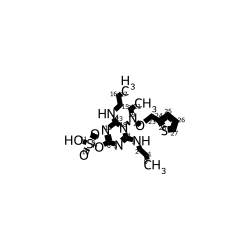 CCCNC1=NC(OS(=O)(=O)O)=NC(NCCC)N1N(CC)OCc1cccs1